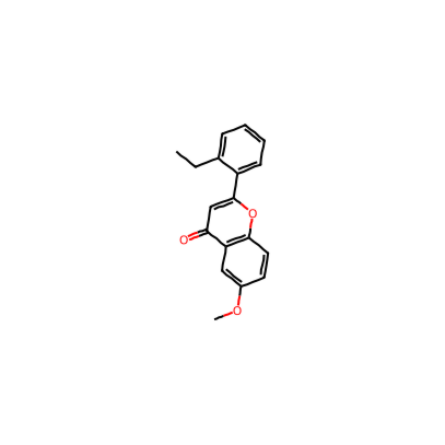 CCc1ccccc1-c1cc(=O)c2cc(OC)ccc2o1